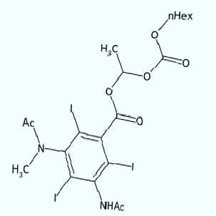 CCCCCCOC(=O)OC(C)OC(=O)c1c(I)c(NC(C)=O)c(I)c(N(C)C(C)=O)c1I